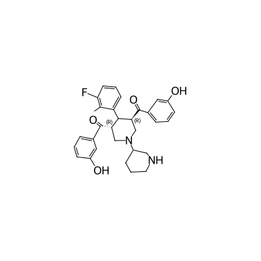 Cc1c(F)cccc1C1[C@@H](C(=O)c2cccc(O)c2)CN(C2CCCNC2)C[C@@H]1C(=O)c1cccc(O)c1